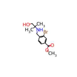 COC(=O)c1ccc(CNC(C)(C)CO)c(Br)c1